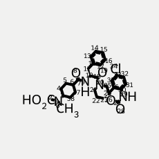 CN(C(=O)O)C1CCC(C(=O)N[C@@H](Cc2ccccc2)C(=O)N2CCC[C@@]3(C2)OC(=O)Nc2ccc(Cl)cc23)CC1